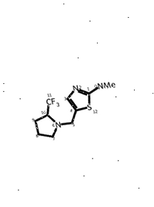 CNc1ncc(CN2CCCC2C(F)(F)F)s1